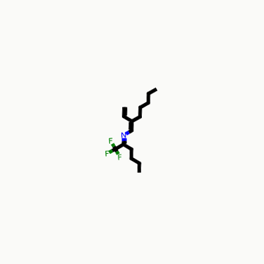 C=C/C(=C\N=C(/CCCC)C(F)(F)F)CCCCC